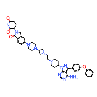 Nc1ncnc2c1c(-c1ccc(Oc3ccccc3)cc1)nn2C1CCN(CCN2CC(N3CCN(c4ccc5c(c4)CN(C4CCC(=O)NC4=O)C5=O)CC3)C2)CC1